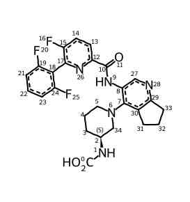 O=C(O)N[C@H]1CCCN(c2c(NC(=O)c3ccc(F)c(-c4c(F)cccc4F)n3)cnc3c2CCC3)C1